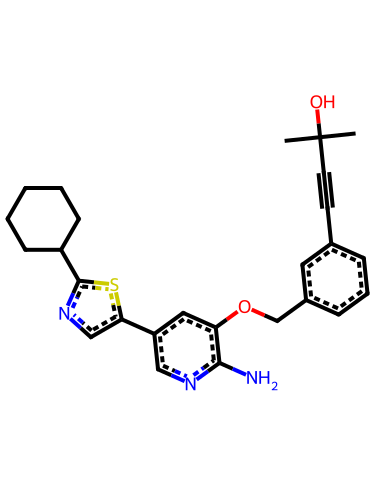 CC(C)(O)C#Cc1cccc(COc2cc(-c3cnc(C4CCCCC4)s3)cnc2N)c1